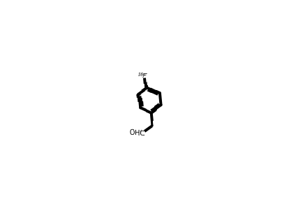 O=CCc1ccc([18F])cc1